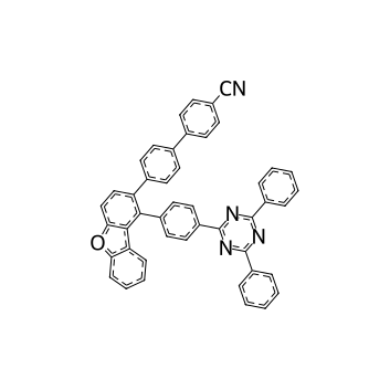 N#Cc1ccc(-c2ccc(-c3ccc4oc5ccccc5c4c3-c3ccc(-c4nc(-c5ccccc5)nc(-c5ccccc5)n4)cc3)cc2)cc1